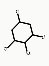 [CH2]CC1C(Cl)CC(Cl)CC1Cl